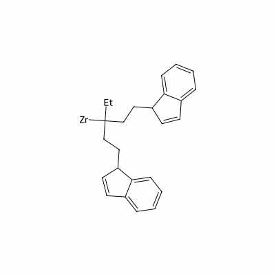 CC[C]([Zr])(CCC1C=Cc2ccccc21)CCC1C=Cc2ccccc21